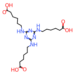 O=C(O)CCCCCNc1nc(NCCCCCC(=O)O)nc(NCCCCCC(=O)O)n1